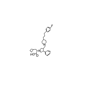 O=C(O)C(CC1CCC1)N1CC(CN2CCC(CCCc3ccc(F)cc3)CC2)C(c2ccccc2)C1